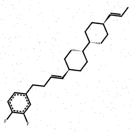 CC=C[C@H]1CC[C@H]([C@H]2CC[C@H](C=CCCc3ccc(F)c(F)c3)CC2)CC1